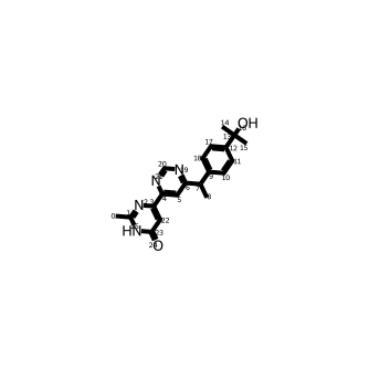 Cc1nc(-c2cc(C(C)c3ccc(C(C)(C)O)cc3)ncn2)cc(=O)[nH]1